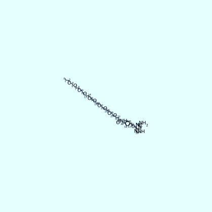 CCCOCCOCCOCCOCCOCCOCCOCCOCCOCCOCCC(=O)NCc1ccc(COc2nc(N)nc3[nH]cnc23)cc1